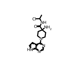 CC(Cl)NC(=O)C1(N)CCN(c2ncnc3[nH]ccc23)CC1